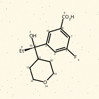 CC[C@@](O)(c1cc(F)cc(C(=O)O)c1)C1CCOCC1